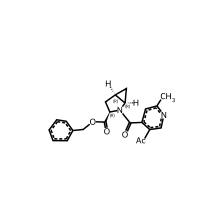 CC(=O)c1cnc(C)cc1C(=O)N1[C@@H](C(=O)OCc2ccccc2)C[C@H]2C[C@H]21